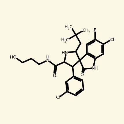 CC(C)(C)CC1NC(C(=O)NCCCO)C(c2cccc(Cl)c2)C12C(=O)Nc1cc(Cl)c(F)cc12